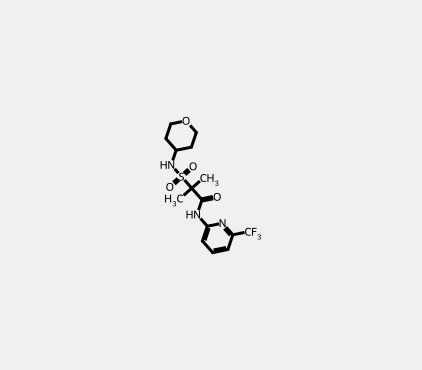 CC(C)(C(=O)Nc1cccc(C(F)(F)F)n1)S(=O)(=O)NC1CCOCC1